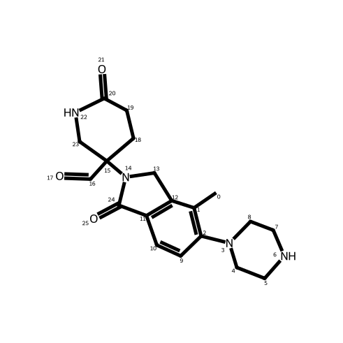 Cc1c(N2CCNCC2)ccc2c1CN(C1(C=O)CCC(=O)NC1)C2=O